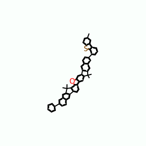 Cc1ccc2sc3c(-c4ccc5cc6c(cc5c4)C(C)(C)c4cc5c(cc4-6)oc4c6c(ccc45)-c4cc5ccc(-c7ccccc7)cc5cc4C6(C)C)cccc3c2c1